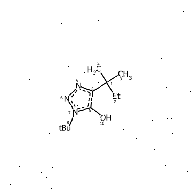 CCC(C)(C)c1nnn(C(C)(C)C)c1O